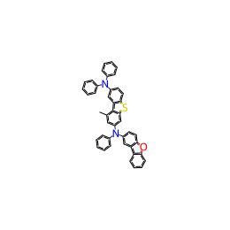 Cc1cc(N(c2ccccc2)c2ccc3oc4ccccc4c3c2)cc2sc3ccc(N(c4ccccc4)c4ccccc4)cc3c12